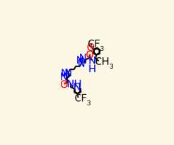 CC(NC(=O)c1cn(CCCCn2cc(C(=O)NCc3cc(C(F)(F)F)ccn3)nn2)nn1)c1cccc(OC(F)(F)F)c1